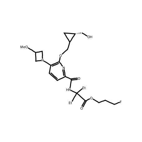 CCC(CC)(NC(=O)c1ccc(N2CC(OC)C2)c(OCC2C[C@@H]2CO)n1)C(=O)OCCCF